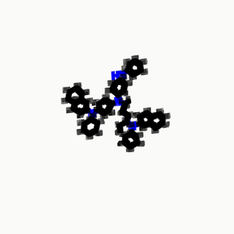 C=C/C(=C\C=C(C)N(c1ccc(Nc2ccccc2)cc1)c1ccc(N(c2ccc3c(c2)C=CCC3)C2C=CC=CC2)cc1)N(c1ccccc1)c1ccc2ccccc2c1